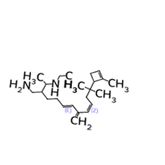 C=C(/C=C\CC(C)(C)C1CC=C1C)/C=C/CCC(CN)C(C)NCC